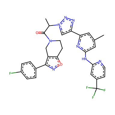 Cc1cc(Nc2cc(C(F)(F)F)ccn2)nc(-c2cn(C(C)C(=O)N3CCc4onc(-c5ccc(F)cc5)c4C3)nn2)c1